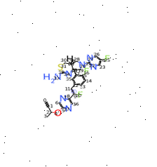 C#CC(C)Oc1cnc(/C(F)=C/c2ccc(F)c([C@]34CN(c5ncc(F)cn5)C[C@H]3CSC(N)=N4)c2)cn1